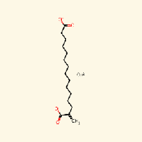 C=C(CCCCCCCCCCCCC(=O)[O-])C(=O)[O-].[Cu+2]